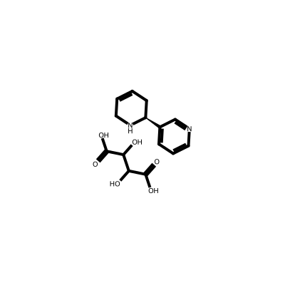 C1=CC[C@@H](c2cccnc2)NC1.O=C(O)C(O)C(O)C(=O)O